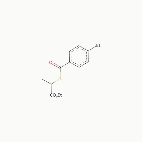 CCOC(=O)C(C)SC(=O)c1ccc(CC)cc1